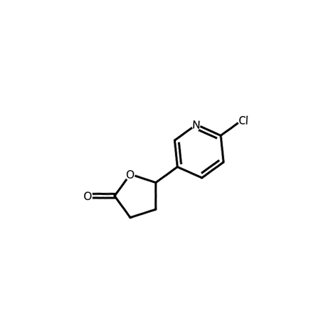 O=C1CCC(c2ccc(Cl)nc2)O1